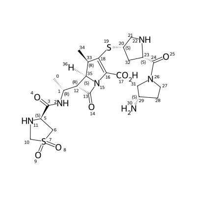 C[C@@H](NC(=O)[C@H]1CS(=O)(=O)CN1)[C@H]1C(=O)N2C(C(=O)O)=C(S[C@@H]3CN[C@H](C(=O)N4CC[C@H](N)C4)C3)[C@H](C)[C@H]12